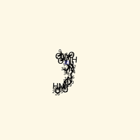 CC(=O)N1CC(=O)N/C(=C\c2ncn(CCCN3CCN(C(=O)NC4CCCC4)CC3)c2C(C)C)C1=O